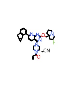 C=CC(=O)N1CCN(c2nc(OCC34CCCN3C[C@H](F)C4)nc3nc(-c4cccc5c4C4CC4C5)ccc23)C[C@@H]1CC#N